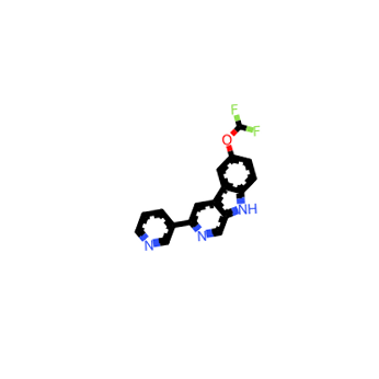 FC(F)Oc1ccc2[nH]c3cnc(-c4cccnc4)cc3c2c1